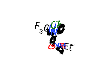 CCOc1ccccc1NC(=O)c1ccc(-c2cc(C(F)(F)F)nn2-c2ccccc2Cl)cc1